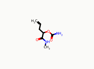 C=CCC(OC(N)=O)C(=O)NC